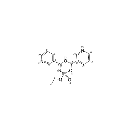 CCOP1(=O)N=C(c2cccnc2)OC(c2cccnc2)O1